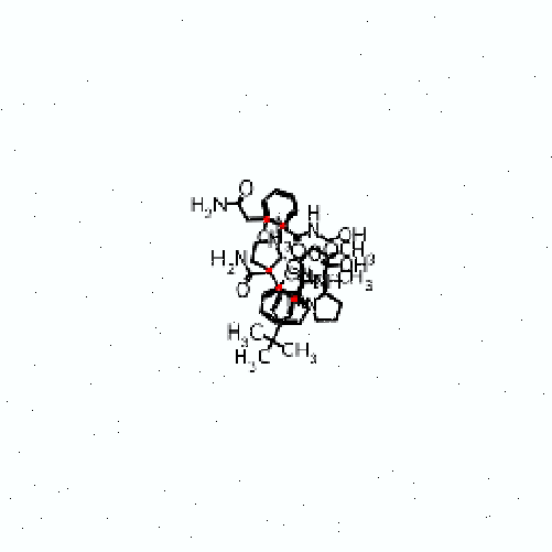 CC1C[C@@H](C2CCCN2[C@]2(C(=O)NC(=O)O)c3ccc(cn3)C2(C)CC(N)=O)N(c2ccc(C(C)(C)C)cc2)[C@]1(C)C1CCCN1[C@]1(C(=O)NC(=O)O)c2ccc(cn2)C1(C)CC(N)=O